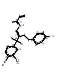 C=C/C(C)=N/C=C(\CCc1ccc(F)cc1)C(C)(C)c1ccc(F)c(Cl)c1